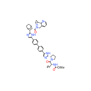 COC(=O)N[C@H](C(=O)N1CCC[C@H]1c1ncc(-c2ccc(-c3ccc(-c4cnc([C@H]5C6CCC(C6)[C@@H]5C(=O)NCc5cccnc5C5CC5)[nH]4)cc3)cc2)[nH]1)C(C)C